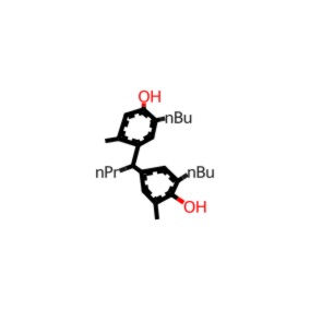 CCCCc1cc(C(CCC)c2cc(C)c(O)c(CCCC)c2)c(C)cc1O